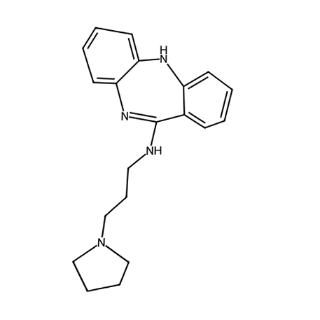 c1ccc2c(c1)N=C(NCCCN1CCCC1)c1ccccc1N2